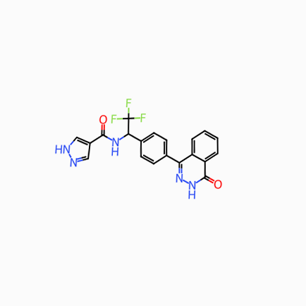 O=C(NC(c1ccc(-c2n[nH]c(=O)c3ccccc23)cc1)C(F)(F)F)c1cn[nH]c1